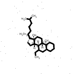 CCC1CC2CCCC[C@]2(C)[C@H]2CC[C@]3(C)[C@@H]([C@H](C)CCCC(C)C)CC[C@H]3[C@H]12